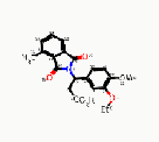 CCOc1cc(C(CC(=O)O)N2C(=O)c3cccc(C)c3C2=O)ccc1OC